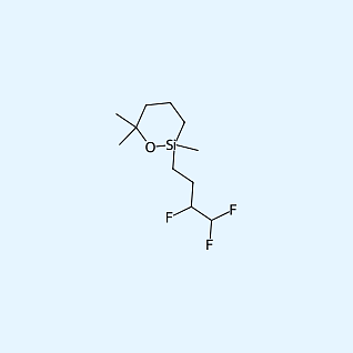 CC1(C)CCC[Si](C)(CCC(F)C(F)F)O1